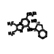 CCOC(=O)c1cc(N[C@@H]2c3ccccc3C[C@H]2O)c2nc(C)c(C)n2c1